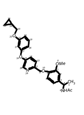 COc1cc(C(C)NC(C)=O)ccc1OCc1ccc(Oc2cccc(OCC3CC3)c2)cn1